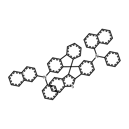 c1ccc(N(c2ccc3c(c2)C2(c4ccccc4-3)c3cc(N(c4ccccc4)c4cccc5ccccc45)ccc3-c3sc4ccccc4c32)c2ccc3ccccc3c2)cc1